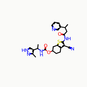 Cc1n[nH]cc1C(C)NC(=O)OC1CCc2c(sc(NC(=O)CC(C)c3cccnc3)c2C#N)C1